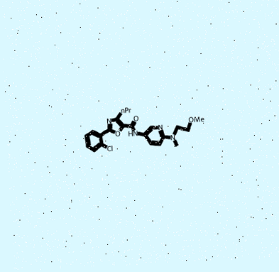 CCCc1nc(-c2ccccc2Cl)oc1C(=O)Nc1ccc(N(C)CCOC)nc1